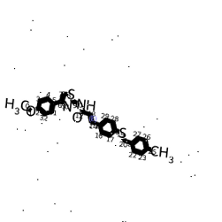 COc1ccc(-c2csc(NC(=O)/C=C/c3ccc(SCc4ccc(C)cc4)cc3)n2)cc1